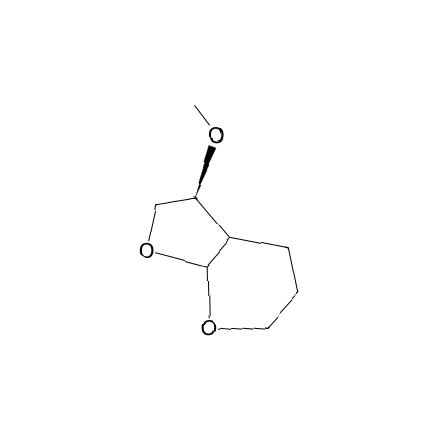 CO[C@@H]1COC2OCCCC21